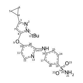 CC(C)(C)n1nc(C2CC2)cc1Oc1ccnc(Nc2ccc(S(N)(=O)=O)cc2)c1